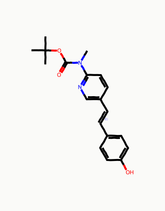 CN(C(=O)OC(C)(C)C)c1ccc(/C=C/c2ccc(O)cc2)cn1